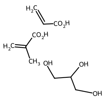 C=C(C)C(=O)O.C=CC(=O)O.OCC(O)CO